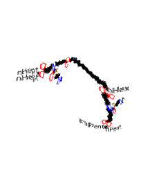 CCCCCCCC(CCCCCCC)OC(=O)CCN(CCCCCC(=O)OC/C=C\CCCCCCCCCCCCC(CCCCCC)OC(=O)CCCN(CCCCC(=O)OC(CCCCC)CCCCC)C(=O)SCCN(C)C)C(=O)SCCN(C)C